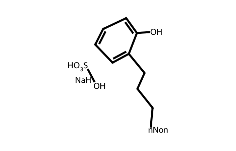 CCCCCCCCCCCCc1ccccc1O.O=S(=O)(O)O.[NaH]